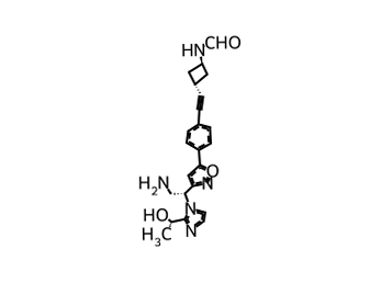 C[C@H](O)c1nccn1[C@H](CN)c1cc(-c2ccc(C#C[C@H]3C[C@H](NC=O)C3)cc2)on1